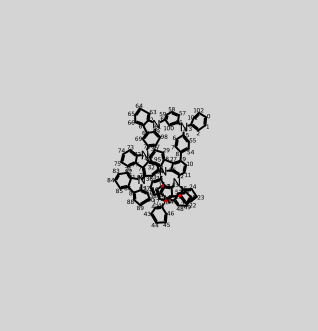 c1ccc(N(c2ccc(-c3ccc(-n4c5ccccc5c5ccccc54)c4c3c3ccccc3n4-c3cccc(N(c4ccccc4)c4ccccc4)c3)cc2)c2cccc(-n3c4ccccc4c4cc(-n5c6ccccc6c6c(-n7c8ccccc8c8ccccc87)cccc65)ccc43)c2)cc1